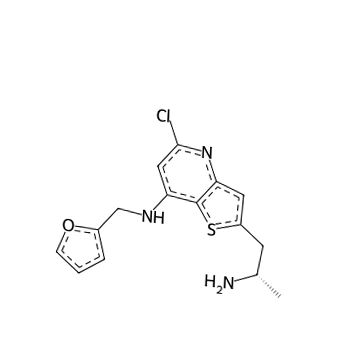 C[C@H](N)Cc1cc2nc(Cl)cc(NCc3ccco3)c2s1